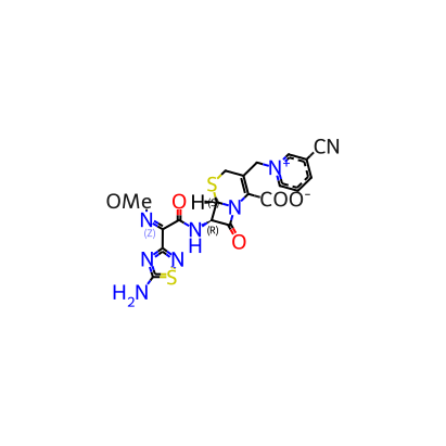 CO/N=C(\C(=O)N[C@@H]1C(=O)N2C(C(=O)[O-])=C(C[n+]3cccc(C#N)c3)CS[C@@H]12)c1nsc(N)n1